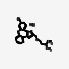 CN(C)CCOCc1cc2c(s1)-c1ccc(Cl)cc1Sc1ccccc1-2.Cl